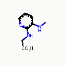 O=C(O)CNc1ncccc1NI